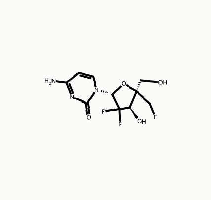 Nc1ccn([C@@H]2O[C@@](CO)(CF)[C@@H](O)C2(F)F)c(=O)n1